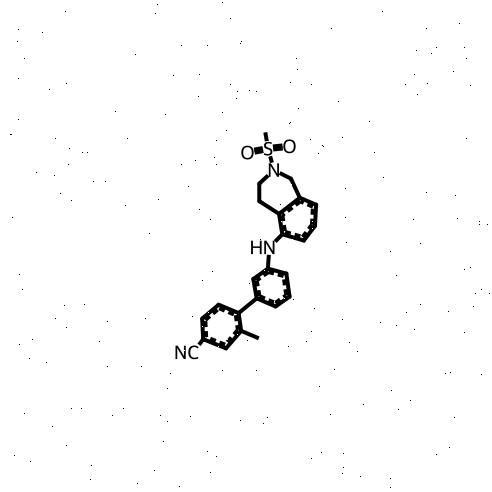 Cc1cc(C#N)ccc1-c1cccc(Nc2cccc3c2CCN(S(C)(=O)=O)C3)c1